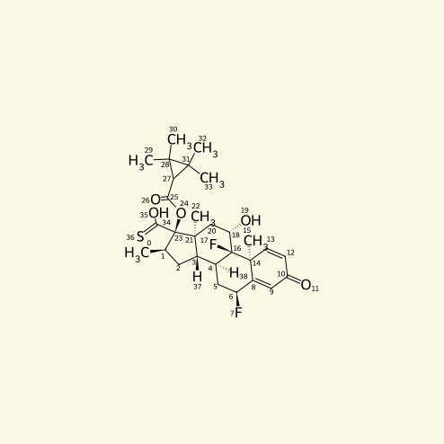 C[C@@H]1C[C@H]2[C@@H]3C[C@H](F)C4=CC(=O)C=C[C@]4(C)[C@@]3(F)[C@@H](O)C[C@]2(C)[C@@]1(OC(=O)C1C(C)(C)C1(C)C)C(O)=S